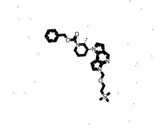 C[C@@H]1[C@H](n2ccc3cnc4c(ccn4COCC[Si](C)(C)C)c32)CCCN1C(=O)OCc1ccccc1